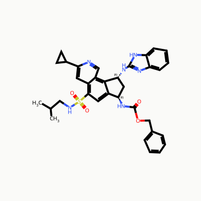 CC(C)CNS(=O)(=O)c1cc2c(c3cnc(C4CC4)cc13)[C@H](Nc1nc3ccccc3[nH]1)C[C@H]2NC(=O)OCc1ccccc1